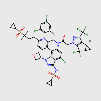 CC(C)(CCc1ccc(-c2ccc(Cl)c3c(NS(=O)(=O)C4CC4)nn(C4COC4)c23)c([C@H](Cc2cc(F)cc(F)c2)NC(=O)Cn2nc(C(F)(F)F)c3c2C(F)(F)C2C[C@H]32)n1)S(=O)(=O)C1CC1